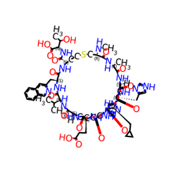 CN[C@H]1CSCC[C@@H](C(=O)N[C@H](C(=O)O)C(C)O)NC(=O)[C@H](Cc2cc3ccccc3cn2)NC(=O)[C@H](C(C)C)NC(=O)[C@@H]2CCCCn3cc(nn3)CC[C@H](NC(=O)[C@H](C)NC1=O)C(=O)N[C@@H](Cc1c[nH]cn1)C(=O)N[C@@H](CC1CC1)C(=O)NCC(=O)N[C@@H](CCC(=O)O)C(=O)N2